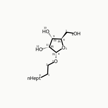 CCCCCCCCCO[C@H]1O[C@H](CO)[C@@H](O)[C@H]1O